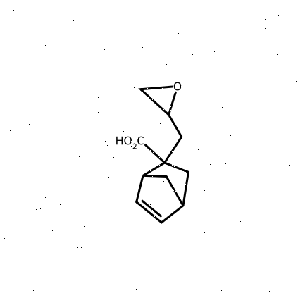 O=C(O)C1(CC2CO2)CC2C=CC1C2